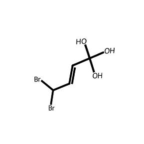 OC(O)(O)C=CC(Br)Br